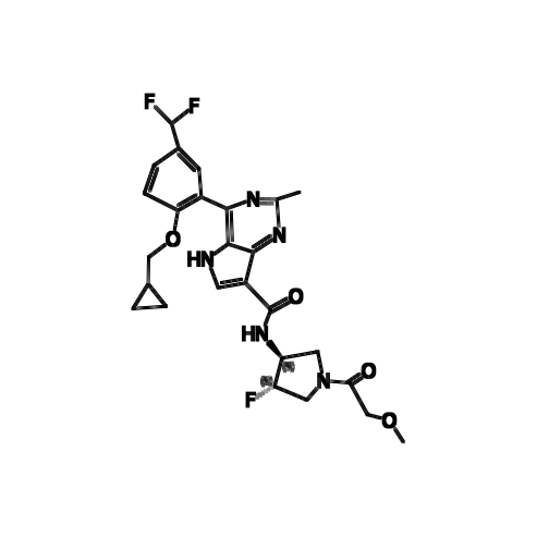 COCC(=O)N1C[C@H](NC(=O)c2c[nH]c3c(-c4cc(C(F)F)ccc4OCC4CC4)nc(C)nc23)[C@@H](F)C1